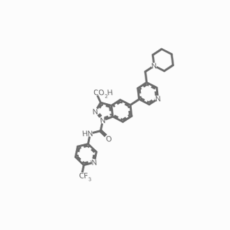 O=C(O)c1nn(C(=O)Nc2ccc(C(F)(F)F)nc2)c2ccc(-c3cncc(CN4CCCCC4)c3)cc12